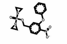 O=[N+]([O-])c1ccc(COP(=O)(N2CC2)N2CC2)cc1Oc1ccccc1